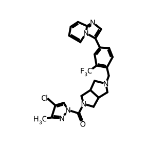 Cc1nn(C(=O)N2CC3CN(Cc4ccc(-c5cnc6ccccn56)cc4C(F)(F)F)CC3C2)cc1Cl